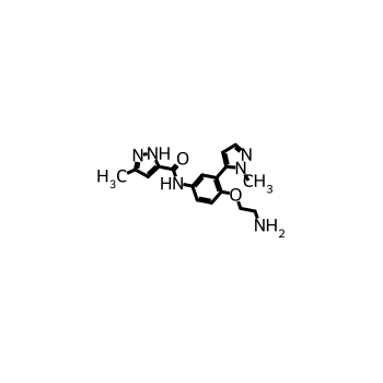 Cc1cc(C(=O)Nc2ccc(OCCN)c(-c3ccnn3C)c2)[nH]n1